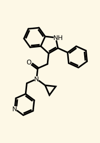 O=C(Cc1c(-c2ccccc2)[nH]c2ccccc12)N(Cc1cccnc1)C1CC1